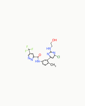 Cc1ccc(NC(=O)c2cc(C(F)(F)F)cnn2)cc1-c1cc(Cl)nc(NCCO)n1